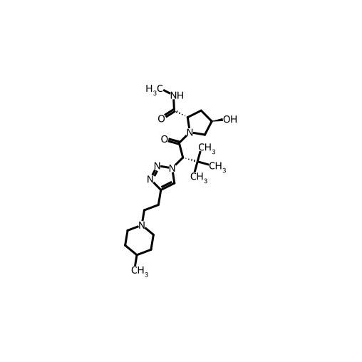 CNC(=O)[C@@H]1C[C@@H](O)CN1C(=O)[C@@H](n1cc(CCN2CCC(C)CC2)nn1)C(C)(C)C